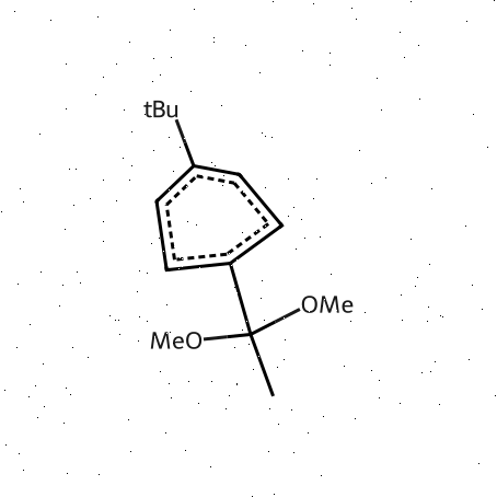 COC(C)(OC)c1ccc(C(C)(C)C)cc1